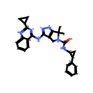 CC1(C)c2[nH]nc(Nc3nc(C4CC4)nc4ccccc34)c2CN1C(=O)NC1CC1c1ccccc1